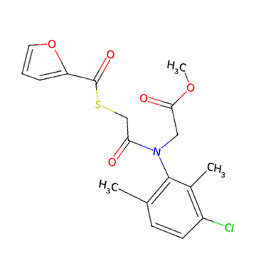 COC(=O)CN(C(=O)CSC(=O)c1ccco1)c1c(C)ccc(Cl)c1C